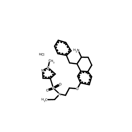 CCN(CCOc1ccc2c(c1)C(Cc1ccccc1)C(N)CC2)S(=O)(=O)c1cnn(C)c1.Cl